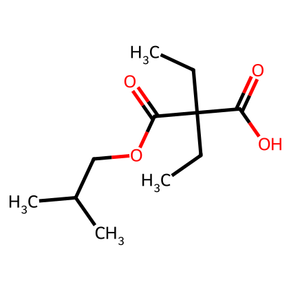 CCC(CC)(C(=O)O)C(=O)OCC(C)C